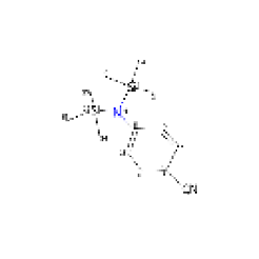 C[Si](C)(C)N(c1ccc(C#N)cc1)[Si](C)(C)C